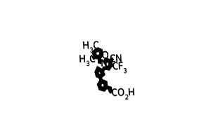 Cc1ccc(Cn2c(-c3cccc(-c4cccc(/C=C/C(=O)O)c4)c3)cc(C(F)(F)F)c(C#N)c2=O)c(C)c1